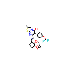 COc1cccc(/C=C/c2nc3sc(C)cn3c(=O)c2-c2ccc(OC(F)F)cc2)c1OCC1CC1